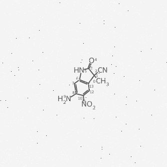 CC1(C#N)C(=O)Nc2cc(N)c([N+](=O)[O-])cc21